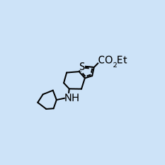 CCOC(=O)c1cc2c(s1)CCC(NC1CCCCC1)C2